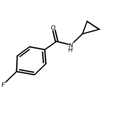 O=C(NC1CC1)c1ccc(F)cc1